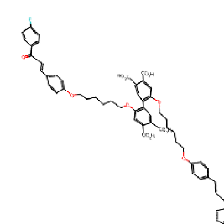 O=C(/C=C/c1ccc(OCCCCCCOc2cc(C(=O)O)c(C(=O)O)cc2-c2cc(C(=O)O)c(C(=O)O)cc2OCCCCCCOc2ccc(/C=C/C(=O)c3ccc(F)cc3)cc2)cc1)c1ccc(F)cc1